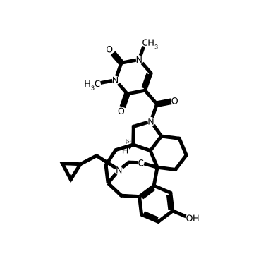 Cn1cc(C(=O)N2C[C@H]3CCC4Cc5ccc(O)cc5C5(CCCC2C35)CCN4CC2CC2)c(=O)n(C)c1=O